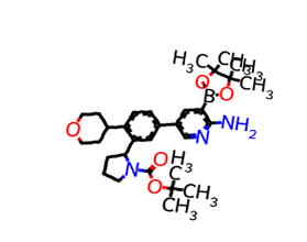 CC(C)(C)OC(=O)N1CCCC1c1cc(-c2cnc(N)c(B3OC(C)(C)C(C)(C)O3)c2)ccc1C1CCOCC1